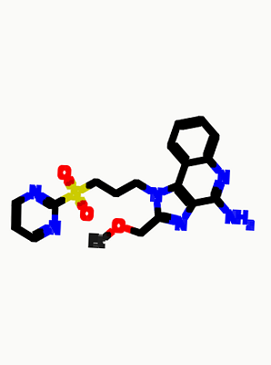 CCOCc1nc2c(N)nc3ccccc3c2n1CCCS(=O)(=O)c1ncccn1